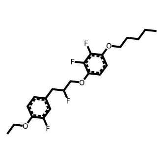 CCCCCOc1ccc(OCC(F)Cc2ccc(OCC)c(F)c2)c(F)c1F